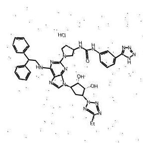 CCc1nnn([C@H]2C[C@@H](n3cnc4c(NCC(c5ccccc5)c5ccccc5)nc(N5CCC(NC(=O)Nc6cccc(-c7nnn[nH]7)c6)C5)nc43)[C@H](O)[C@@H]2O)n1.Cl